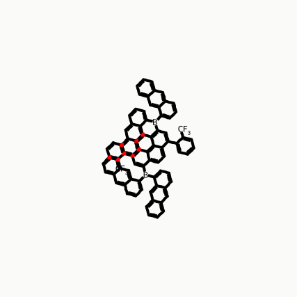 FC(F)(F)c1ccccc1-c1cc(B(c2cccc3cc4ccccc4cc23)c2cccc3cc4ccccc4cc23)c2ccc3c(-c4ccccc4C(F)(F)F)cc(B(c4cccc5cc6ccccc6cc45)c4cccc5cc6ccccc6cc45)c4ccc1c2c43